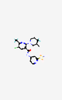 CC1CN(c2nc(C(F)(F)F)c(Cl)cc2C(=O)Nc2ccnc(S(N)(=O)=O)c2)CCC1(F)F